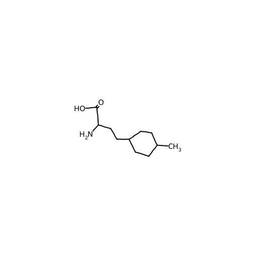 CC1CCC(CCC(N)C(=O)O)CC1